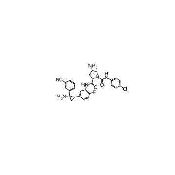 N#Cc1cccc(C2(N)CC2c2ccc(F)c(NC(=O)[C@H]3C[C@H](N)CN3C(=O)Nc3ccc(Cl)cc3)c2)c1